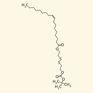 CCCCCCCC/C=C\CCCCCCCC(=O)OCCSSCCOC(=O)OC(C)(C)C